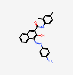 Cc1ccc(NC(=O)c2cc3ccccc3c(N=Nc3ccc(N)cc3)c2O)c(C)c1